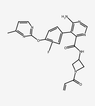 C=CC(=O)N1CC(NC(=O)c2ncnc(N)c2-c2ccc(Oc3nccc(C)n3)c(F)c2)C1